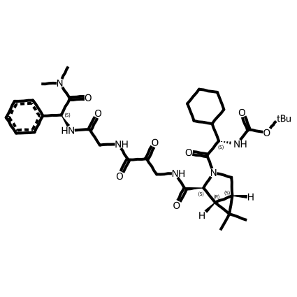 CN(C)C(=O)[C@@H](NC(=O)CNC(=O)C(=O)CNC(=O)[C@@H]1[C@@H]2[C@H](CN1C(=O)[C@@H](NC(=O)OC(C)(C)C)C1CCCCC1)C2(C)C)c1ccccc1